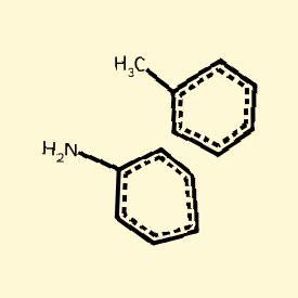 Cc1ccccc1.Nc1ccccc1